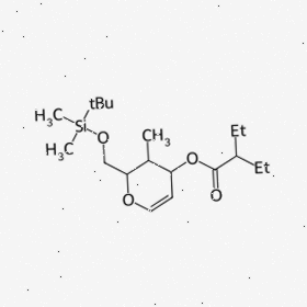 CCC(CC)C(=O)OC1C=COC(CO[Si](C)(C)C(C)(C)C)C1C